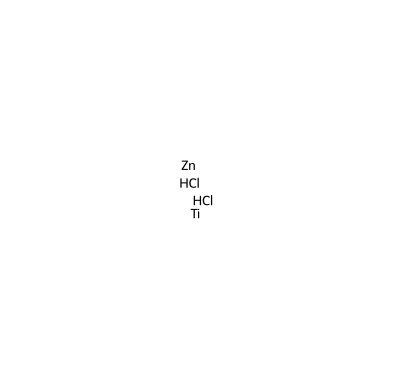 Cl.Cl.[Ti].[Zn]